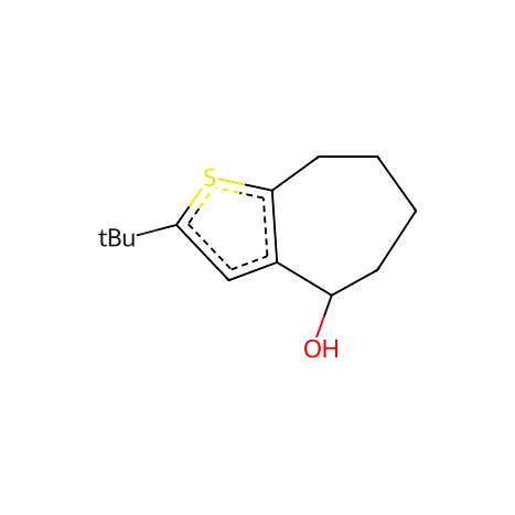 CC(C)(C)c1cc2c(s1)CCCCC2O